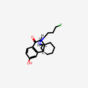 O=C1c2ccc(O)cc2[C@@]23CCCC[C@H]2[C@@H]1N(CCCF)CC3